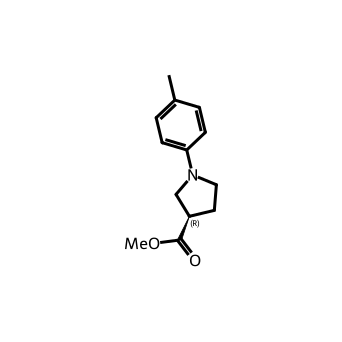 COC(=O)[C@@H]1CCN(c2ccc(C)cc2)C1